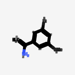 C=C(N)c1cc(CC)cc(OC)c1